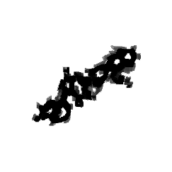 Cn1ccc2c1CCC=C2c1n[nH]c2nc(N3CCC4(CC3)Cc3ccccc3[C@H]4N)[nH]c(=O)c12